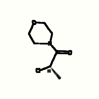 C[C@H](Cl)C(=O)N1CCOCC1